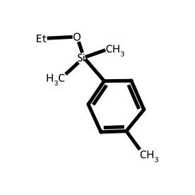 CCO[Si](C)(C)c1ccc(C)cc1